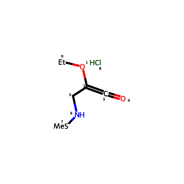 CCOC(=C=O)CNSC.Cl